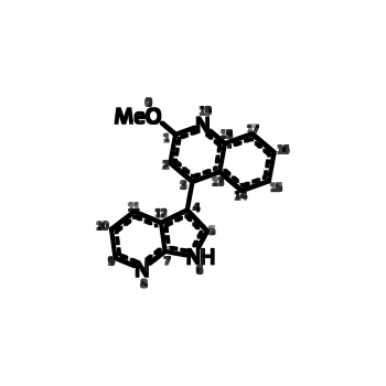 COc1cc(-c2c[nH]c3ncccc23)c2ccccc2n1